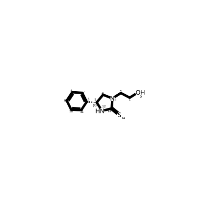 OCCN1C[C@@H](c2ccccc2)NC1=S